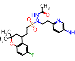 CC(=O)NN(CCc1ccc(N)cn1)S(=O)(=O)CCC1CC(C)(C)Oc2ccc(F)cc21